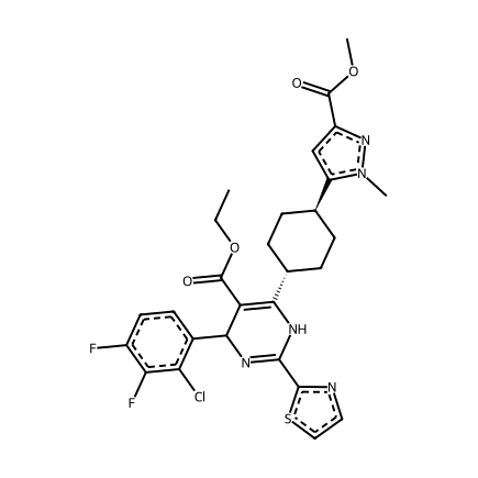 CCOC(=O)C1=C([C@H]2CC[C@H](c3cc(C(=O)OC)nn3C)CC2)NC(c2nccs2)=NC1c1ccc(F)c(F)c1Cl